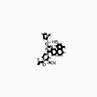 C=C(F)C(=O)N1CCN(c2nc(OC[C@@H]3CCCN3C)nc3c2CCC2(CCCc4c(C)cc(O)cc42)C3)C[C@@H]1CC#N